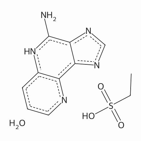 CCS(=O)(=O)O.Nc1[nH]c2cccnc2c2ncnc1-2.O